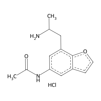 CC(=O)Nc1cc(CC(C)N)c2occc2c1.Cl